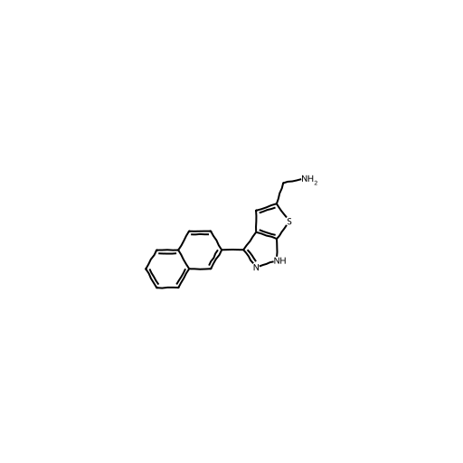 NCc1cc2c(-c3ccc4ccccc4c3)n[nH]c2s1